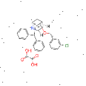 Clc1cccc(CO[C@@H]2C3CCN(CC3)[C@@H]2C(c2ccccc2)c2ccccc2)c1.O=C(O)C(=O)O